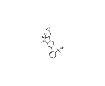 CN1c2cc(-c3ccccc3C(C)(C)O)ccc2N(CC2CC2)S1(=O)=O